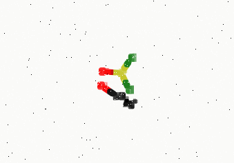 O=[N+]([O-])[O-].[Ag+].[O-][S+](Cl)Cl